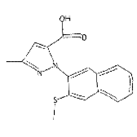 CSc1cc2ccccc2cc1-n1nc(C)cc1C(=O)O